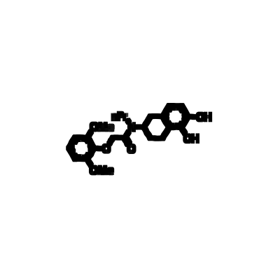 CCCN(C(=O)COc1c(OC)cccc1OC)C1CCc2c(ccc(O)c2O)C1